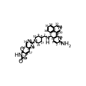 Nc1ccc(CNCC2CCN(c3nccc(C=C4SC(=O)NC4=O)n3)CC2)c(-c2cncc3ccccc23)n1